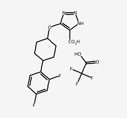 O=C(O)C(F)(F)F.O=C(O)c1[nH]nnc1OC1CCC(c2ccc(F)cc2F)CC1